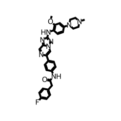 COc1cc(N2CCN(C)CC2)ccc1Nc1nc2cnc(-c3ccc(NC(=O)Cc4ccc(F)cc4)cc3)cn2n1